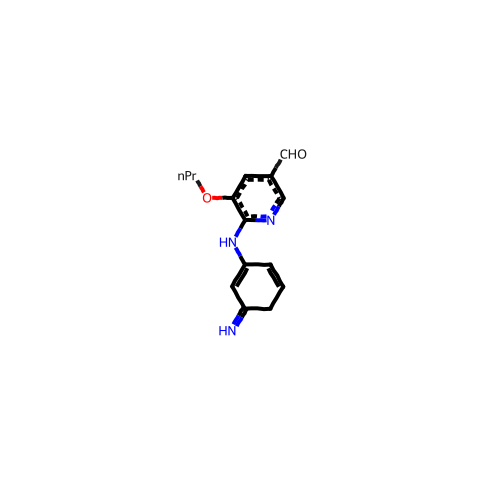 CCCOc1cc(C=O)cnc1NC1=CC(=N)CC=C1